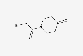 O=C1CCN(C(=O)CBr)CC1